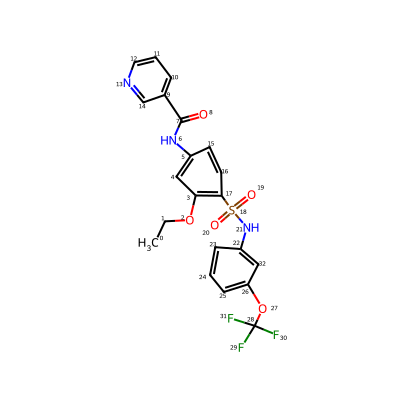 CCOc1cc(NC(=O)c2cccnc2)ccc1S(=O)(=O)Nc1cccc(OC(F)(F)F)c1